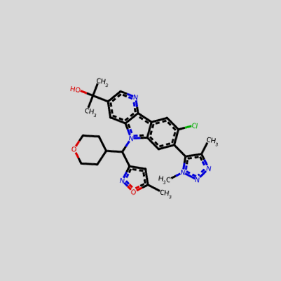 Cc1cc(C(C2CCOCC2)n2c3cc(-c4c(C)nnn4C)c(Cl)cc3c3ncc(C(C)(C)O)cc32)no1